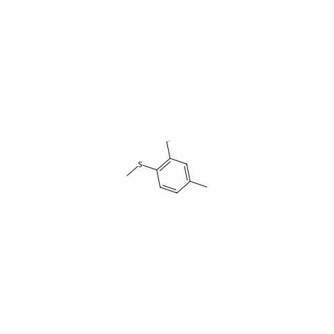 [CH2]c1cc(C)ccc1SC